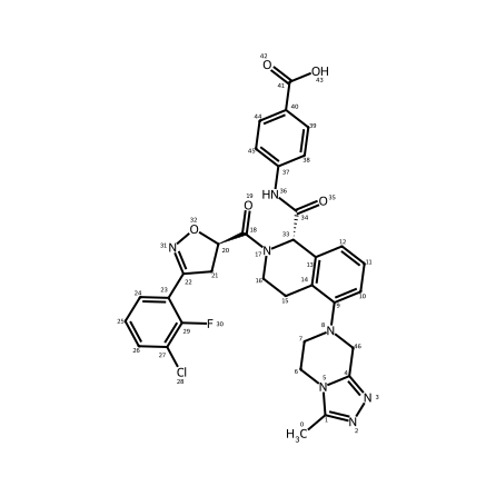 Cc1nnc2n1CCN(c1cccc3c1CCN(C(=O)[C@H]1CC(c4cccc(Cl)c4F)=NO1)[C@@H]3C(=O)Nc1ccc(C(=O)O)cc1)C2